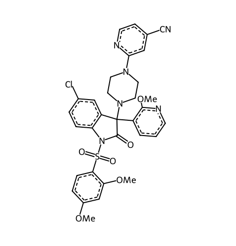 COc1ccc(S(=O)(=O)N2C(=O)C(c3cccnc3OC)(N3CCN(c4cc(C#N)ccn4)CC3)c3cc(Cl)ccc32)c(OC)c1